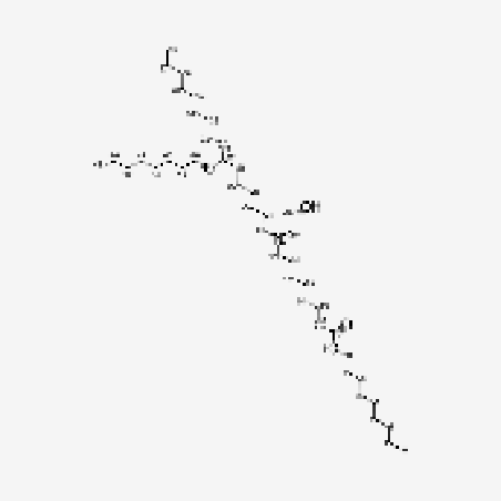 CCCCCCCCCOC(=O)OCCCCCCN(CCO)CCCCCCC(OCCCCCCCC)OCCCCCCCC